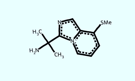 CSc1cccn2c(C(C)(C)N)ncc12